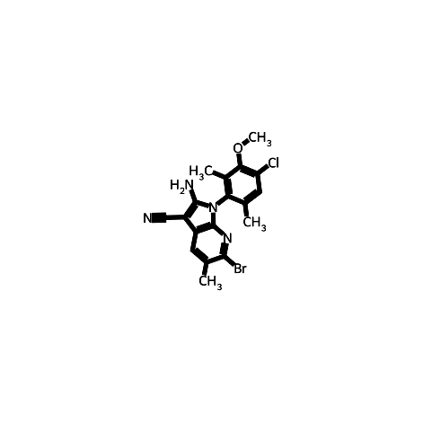 COc1c(Cl)cc(C)c(-n2c(N)c(C#N)c3cc(C)c(Br)nc32)c1C